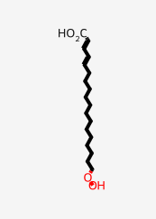 O=C(O)C=CC=CCCCCCCCCCCCCCOO